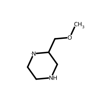 COCC1CNCC[N]1